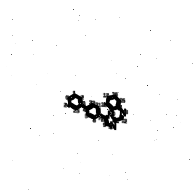 c1ccc(-c2ccc(-c3cnc4cnc5ccccc5n34)cc2)cc1